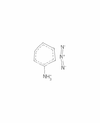 [N-]=[N+]=[N-].[NH3+]c1ccccc1